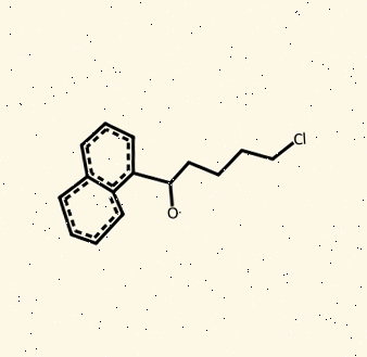 [O]C(CCCCCl)c1cccc2ccccc12